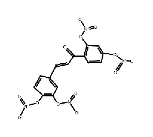 O=C(/C=C/c1ccc(O[N+](=O)[O-])c(O[N+](=O)[O-])c1)c1ccc(O[N+](=O)[O-])cc1O[N+](=O)[O-]